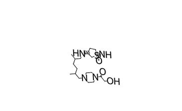 CC(CCC(C)CN1CCN(C(=O)CO)CC1)CN[C@H]1CC[S@@](=N)(=O)C1